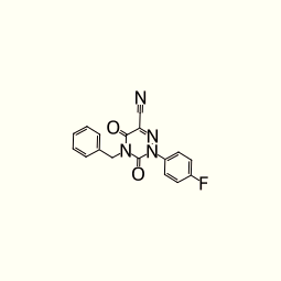 N#Cc1nn(-c2ccc(F)cc2)c(=O)n(Cc2ccccc2)c1=O